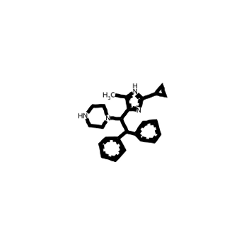 Cc1[nH]c(C2CC2)nc1C(C(c1ccccc1)c1ccccc1)N1CCNCC1